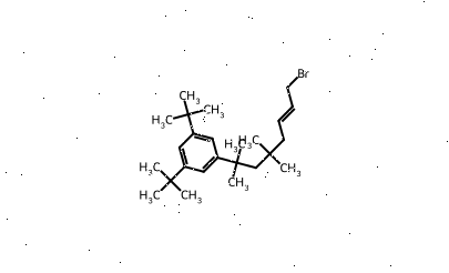 CC(C)(CC=CCBr)CC(C)(C)c1cc(C(C)(C)C)cc(C(C)(C)C)c1